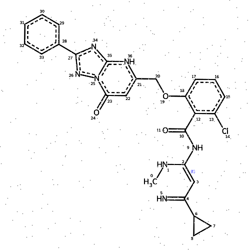 CN/C(=C\C(=N)C1CC1)NC(=O)c1c(Cl)cccc1OCc1cc(=O)n2nc(-c3ccccc3)nc2[nH]1